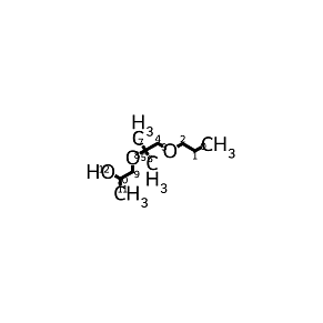 CCCOCC(C)(C)OCC(C)O